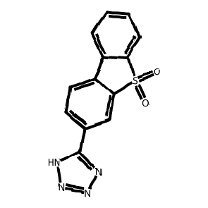 O=S1(=O)c2ccccc2-c2ccc(-c3nnn[nH]3)cc21